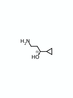 NCC[C@H](O)C1CC1